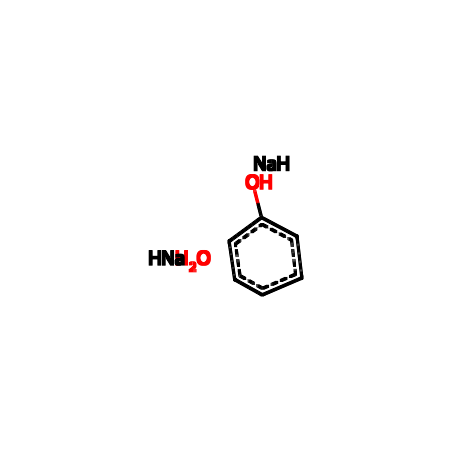 O.Oc1ccccc1.[NaH].[NaH]